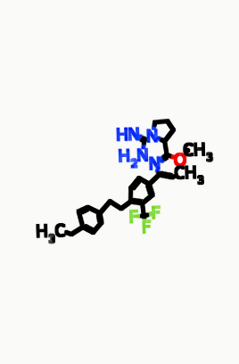 C/C=C(\N=C(/OC)C1CCCN1C(=N)N)c1ccc(CCc2ccc(CC)cc2)c(C(F)(F)F)c1